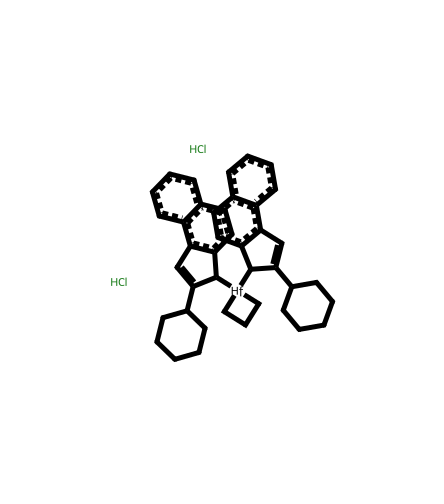 C1=C(C2CCCCC2)[CH]([Hf]2([CH]3C(C4CCCCC4)=Cc4c3ccc3ccccc43)[CH2]C[CH2]2)c2ccc3ccccc3c21.Cl.Cl